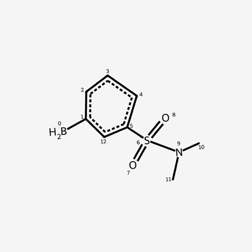 Bc1cccc(S(=O)(=O)N(C)C)c1